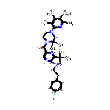 Cc1nc(N2CCN(C(=O)c3cnc4c(n3)C(C)(C)CN4CCc3ccc(F)cc3)C(C)(C)C2)c(C)c(C)c1C(=O)O